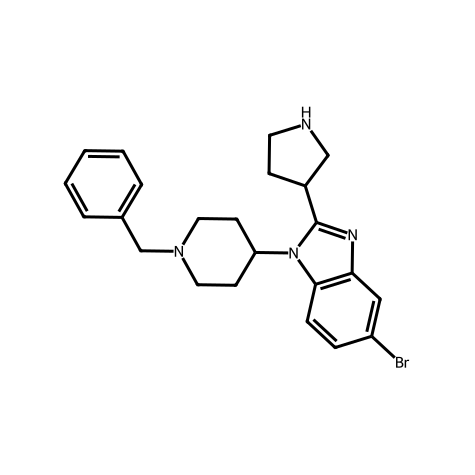 Brc1ccc2c(c1)nc(C1CCNC1)n2C1CCN(Cc2ccccc2)CC1